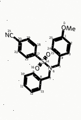 COc1ccc(CN(Cc2ccccc2)S(=O)(=O)c2ccc(C#N)cc2)cc1